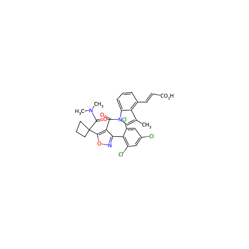 Cc1cn(C(=O)c2c(-c3c(Cl)cc(Cl)cc3Cl)noc2C2(C(=O)N(C)C)CCC2)c2cccc(/C=C/C(=O)O)c12